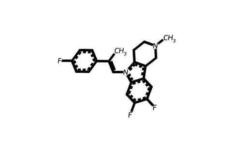 C/C(=C\n1c2c(c3cc(F)c(F)cc31)CN(C)CC2)c1ccc(F)cc1